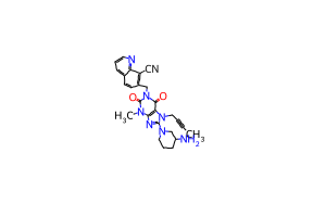 CC#CCn1c(N2CCCC(N)C2)nc2c1c(=O)n(Cc1ccc3cccnc3c1C#N)c(=O)n2C